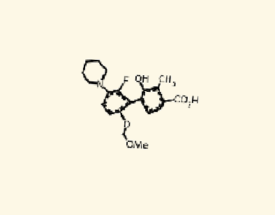 COCOc1ccc(N2CCCCC2)c(F)c1-c1ccc(C(=O)O)c(C)c1O